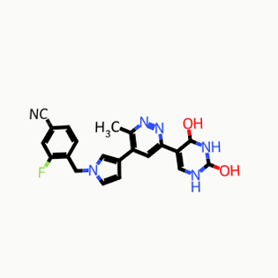 Cc1nnc(C2=CNC(O)NC2O)cc1-c1ccn(Cc2ccc(C#N)cc2F)c1